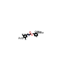 COc1cccc(COC(=O)/C=C/c2cc(C)c(OC(C)=O)c(C)c2)c1OC